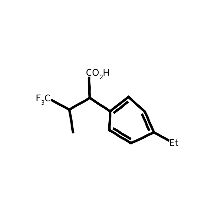 CCc1ccc(C(C(=O)O)C(C)C(F)(F)F)cc1